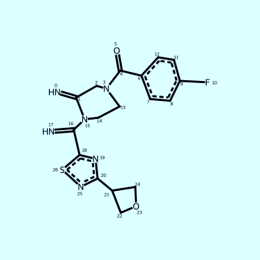 N=C1CN(C(=O)c2ccc(F)cc2)CCN1C(=N)c1nc(C2COC2)ns1